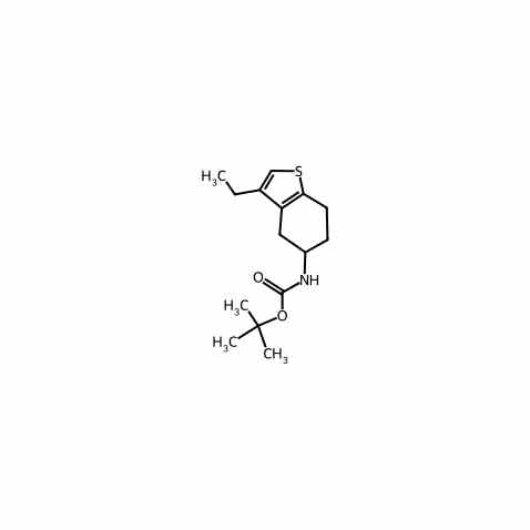 CCc1csc2c1CC(NC(=O)OC(C)(C)C)CC2